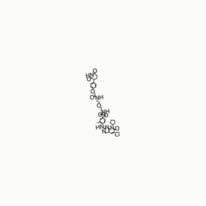 Cc1cc(S(=O)(=O)NCCOCCNC(=O)COc2ccc(C3CCC(=O)NC3=O)cc2)ccc1Nc1ncc2cc(Cl)c(=O)n(C3CCCC3)c2n1